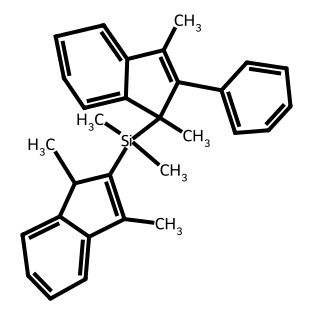 CC1=C([Si](C)(C)C2(C)C(c3ccccc3)=C(C)c3ccccc32)C(C)c2ccccc21